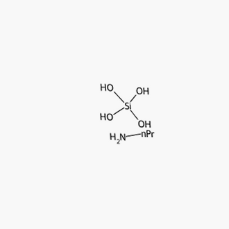 CCCN.O[Si](O)(O)O